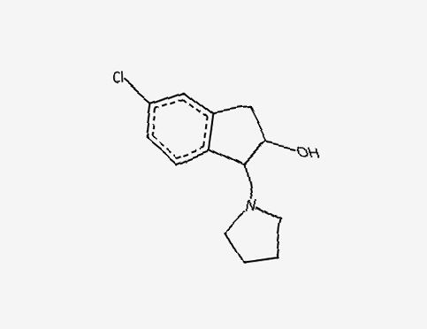 OC1Cc2cc(Cl)ccc2C1N1CCCC1